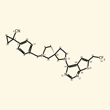 N#CC1(c2ccc(CN3CC[C@@]4(CCN(c5ncnc6sc(CC(F)(F)F)cc56)C4)C3)cc2)CC1